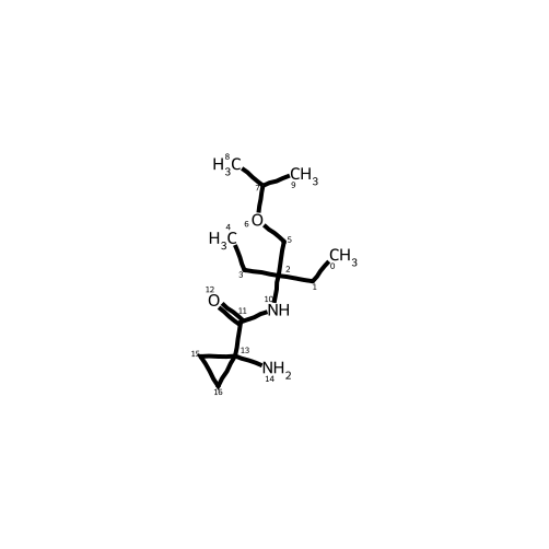 CCC(CC)(COC(C)C)NC(=O)C1(N)CC1